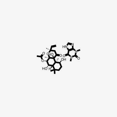 C=C[C@@]1(C)CC(=O)[C@]2(O)[C@@]3(C)[C@@H](O)CCC(C)(C)[C@@H]3[C@H](O)[C@H](OC(C)=O)[C@@]2(C)O1.Cn1c(=O)c2[nH]cnc2n(C)c1=O